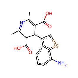 CC1=NC(C)=C(C(=O)O)C(c2csc3c(N)cccc23)C1C(=O)O